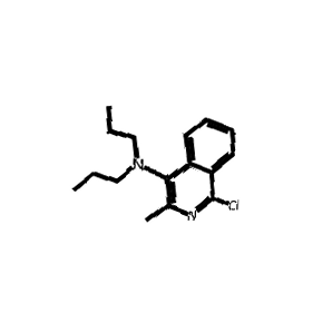 CCCN(CCC)c1c(C)nc(Cl)c2ccccc12